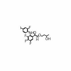 CC(O)CCONC(=O)c1cc(F)c(F)c(F)c1Nc1ccc(I)cc1F